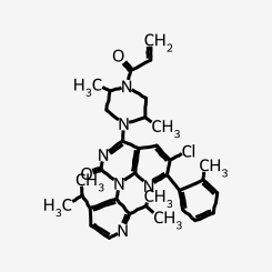 C=CC(=O)N1CC(C)N(c2nc(=O)n(-c3c(C(C)C)ccnc3C(C)C)c3nc(-c4ccccc4C)c(Cl)cc23)CC1C